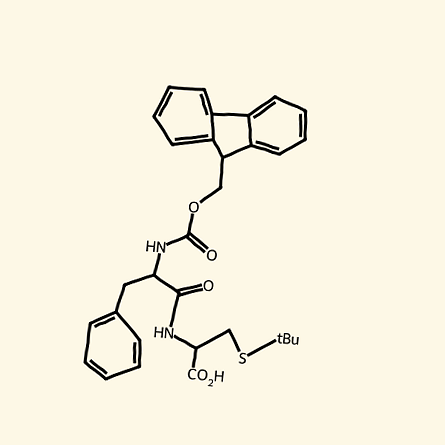 CC(C)(C)SCC(NC(=O)C(Cc1ccccc1)NC(=O)OCC1c2ccccc2-c2ccccc21)C(=O)O